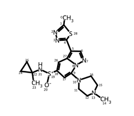 Cc1nnc(-c2cnn3c(N4CCN(C)CC4)cc([S+]([O-])NC4(C)CC4)cc23)s1